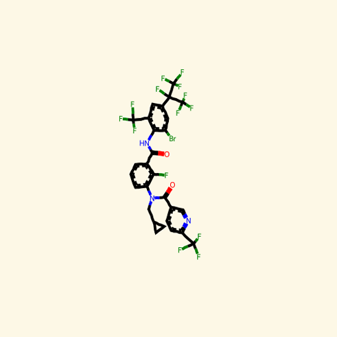 O=C(Nc1c(Br)cc(C(F)(C(F)(F)F)C(F)(F)F)cc1C(F)(F)F)c1cccc(N(CC2CC2)C(=O)c2ccc(C(F)(F)F)nc2)c1F